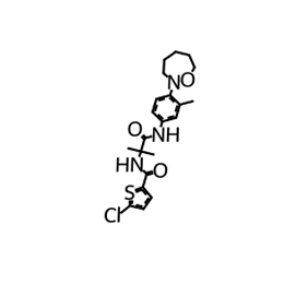 Cc1cc(NC(=O)C(C)(C)NC(=O)c2ccc(Cl)s2)ccc1N1CCCCCO1